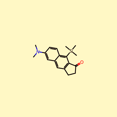 CN(C)c1ccc2c([Si](C)(C)C)c3c(cc2c1)CCC3=O